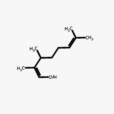 CC(=O)OC=C(C)C(C)CCC=C(C)C